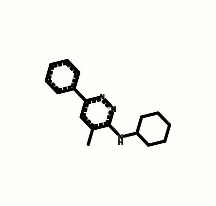 Cc1cc(-c2ccccc2)nnc1NC1CCCCC1